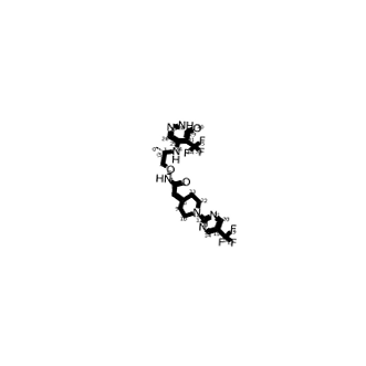 C[C@@H](CONC(=O)C=C1CCN(c2ncc(C(F)(F)F)cn2)CC1)Nc1cn[nH]c(=O)c1C(F)(F)F